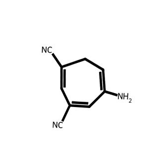 N#CC1=CC(N)=CCC(C#N)=C1